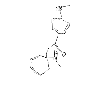 CNc1ccc(C(=O)CC2(NC)C=CC=CC2)cc1